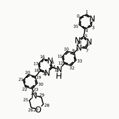 c1cncc(-c2ncn(-c3ccc(Nc4nccc(-c5cccc(N6CCOCC6)c5)n4)cc3)n2)c1